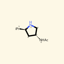 CC(=O)N[C@H]1CN[C@H](C(C)C)C1